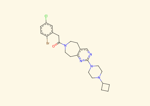 O=C(Cc1cc(Cl)ccc1Br)N1CCc2cnc(N3CCN(C4CCC4)CC3)nc2CC1